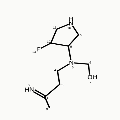 CC(=N)CCN(CO)C1CNCC1F